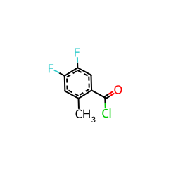 Cc1cc(F)c(F)cc1C(=O)Cl